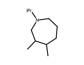 CC1CCCN(C(C)C)CC1C